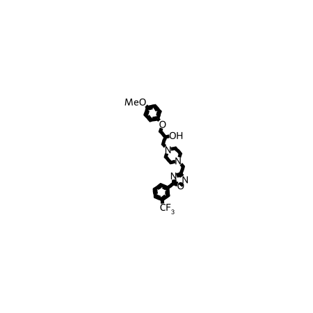 COc1ccc(OCC(O)CN2CCN(Cc3noc(-c4cccc(C(F)(F)F)c4)n3)CC2)cc1